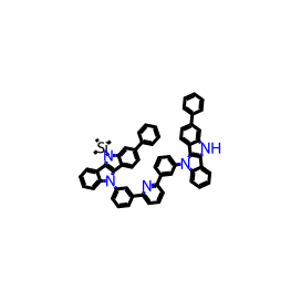 C[Si](C)(C)n1c2cc(-c3ccccc3)ccc2c2c1c1ccccc1n2-c1cccc(-c2cccc(-c3cccc(-n4c5ccccc5c5[nH]c6cc(-c7ccccc7)ccc6c54)c3)n2)c1